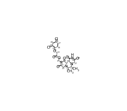 CC(C(C)N1CC(=O)N(COC(=O)COc2ccc(Cl)cc2Cl)C(=O)C1)N1CC(=O)NC(=O)C1